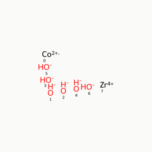 [Co+2].[OH-].[OH-].[OH-].[OH-].[OH-].[OH-].[Zr+4]